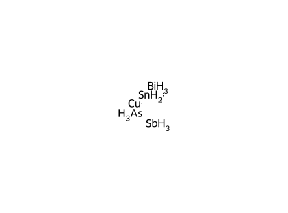 [AsH3].[BiH3].[Cu].[SbH3].[SnH2]